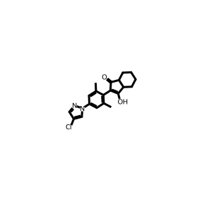 Cc1cc(-n2cc(Cl)cn2)cc(C)c1C1=C(O)C2CCCCC2C1=O